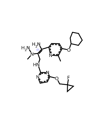 Cc1nc(/C(N)=C(\CNc2nccc(OCC3(F)CC3)n2)N(C)N)ccc1OC1CCCCC1